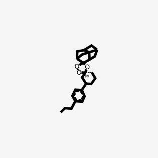 CCCc1ccc(C2CCC[C@]3(C2)OOC2(O3)C3CC4CC(C3)CC2C4)cc1